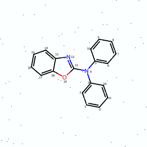 c1ccc(N(c2ccccc2)c2nc3ccccc3o2)cc1